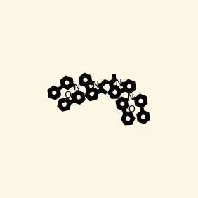 C=c1/c(=C\c2c(C)n3c4cccc(N(c5cccc(-c6ccccc6)c5)c5cccc6c5oc5ccccc56)c4c4cccc2c43)n2c3cccc(N(c4cccc(-c5ccccc5)c4)c4cccc5c4oc4ccccc45)c3c3cccc1c32